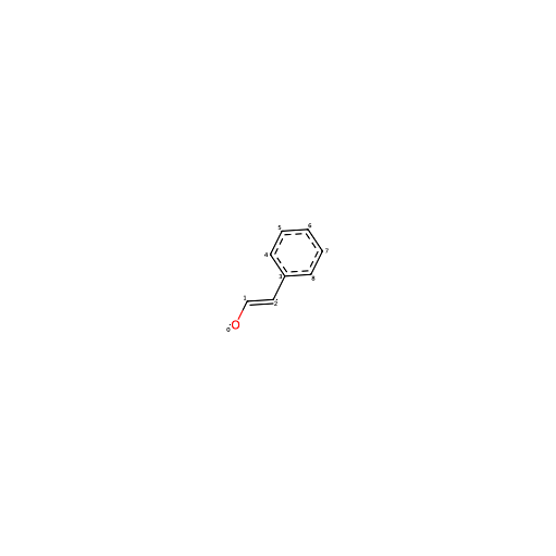 [O]C=[C]c1ccccc1